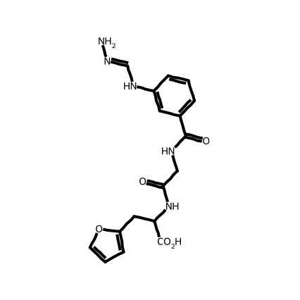 NN=CNc1cccc(C(=O)NCC(=O)NC(Cc2ccco2)C(=O)O)c1